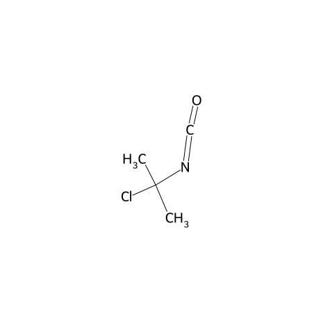 CC(C)(Cl)N=C=O